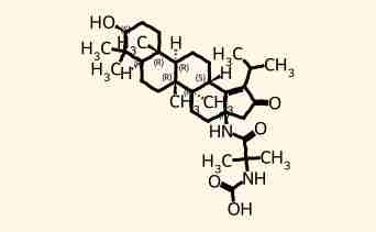 CC(C)C1=C2[C@H]3CC[C@@H]4[C@@]5(C)CC[C@H](O)C(C)(C)[C@@H]5CC[C@@]4(C)[C@]3(C)CC[C@@]2(NC(=O)C(C)(C)NC(=O)O)CC1=O